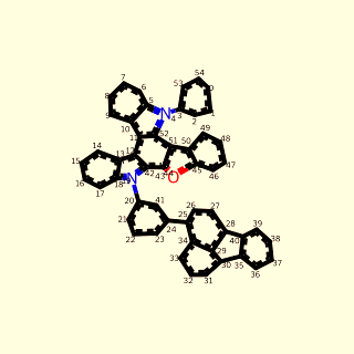 c1ccc(-n2c3ccccc3c3c4c5ccccc5n(-c5cccc(-c6ccc7c8c(cccc68)-c6ccccc6-7)c5)c4c4oc5ccccc5c4c32)cc1